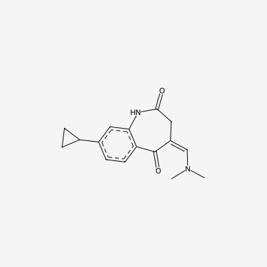 CN(C)/C=C1/CC(=O)Nc2cc(C3CC3)ccc2C1=O